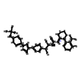 Cc1cccc(N2CCCS/C2=N\C(=O)NC(F)C(F)c2ccc(-c3ncn(-c4ccc(OC(F)(F)F)cc4)n3)cc2)c1C(C)C